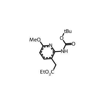 CCOC(=O)Cc1ccc(OC)nc1NC(=O)OC(C)(C)C